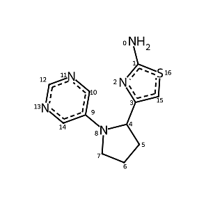 Nc1nc(C2CCCN2c2cncnc2)cs1